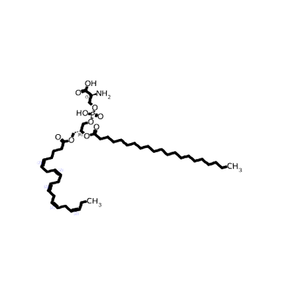 CC/C=C\C/C=C\C/C=C\C/C=C\C/C=C\CCCC(=O)OC[C@H](COP(=O)(O)OC[C@H](N)C(=O)O)OC(=O)CCCCCCCCCCCCCCCCCCCC